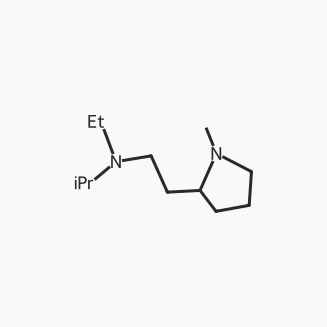 CCN(CCC1CCCN1C)C(C)C